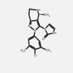 Cc1cc(-n2nc3c(c2-n2cc[nH]c2=O)[C@H](C)NCC3)cc(C)c1Cl